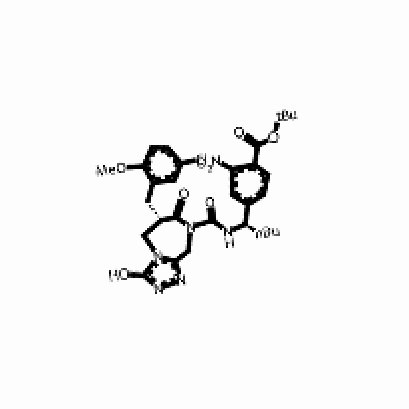 CCCC[C@@H](NC(=O)N1Cc2nnc(O)n2C[C@H](Cc2cc(Cl)ccc2OC)C1=O)c1ccc(C(=O)OC(C)(C)C)c([N+](=O)[O-])c1